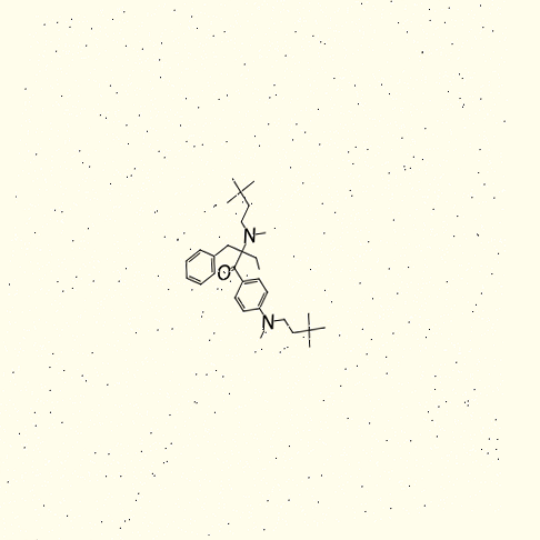 CCC(Cc1ccccc1)(C(=O)c1ccc(N(C)CCC(C)(C)C)cc1)N(C)CCC(C)(C)C